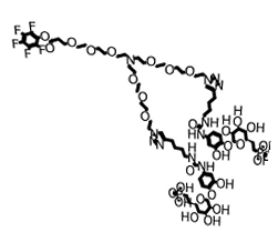 O=C(NCCCCc1cn(CCOCCOCCOCCN(CCOCCOCCOCCC(=O)Oc2c(F)c(F)c(F)c(F)c2F)CCOCCOCCOCCn2cc(CCCCNC(=O)Nc3ccc(O[C@H]4O[C@H](CCP(=O)(O)O)[C@@H](O)[C@H](O)[C@@H]4O)c(O)c3)nn2)nn1)Nc1ccc(O[C@H]2O[C@H](CCP(=O)(O)O)[C@@H](O)[C@H](O)[C@@H]2O)c(O)c1